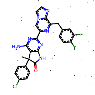 CC1(c2ccc(Cl)cc2)C(=O)Nc2nc(-c3cn4ccnc4c(Cc4ccc(F)c(F)c4)n3)nc(N)c21